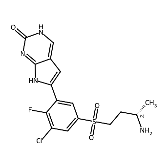 C[C@H](N)CCS(=O)(=O)c1cc(Cl)c(F)c(-c2cc3c[nH]c(=O)nc3[nH]2)c1